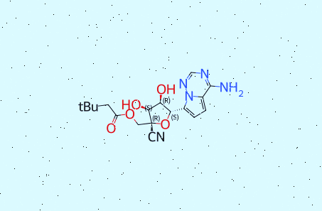 CC(C)(C)CC(=O)OC[C@@]1(C#N)O[C@@H](c2ccc3c(N)ncnn23)[C@H](O)[C@@H]1O